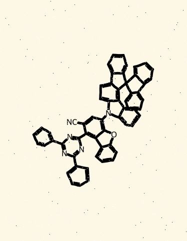 N#Cc1cc(-n2c3ccccc3c3c4c(ccc32)-c2ccccc2C42c3ccccc3-c3ccccc32)c2oc3ccccc3c2c1-c1nc(-c2ccccc2)nc(-c2ccccc2)n1